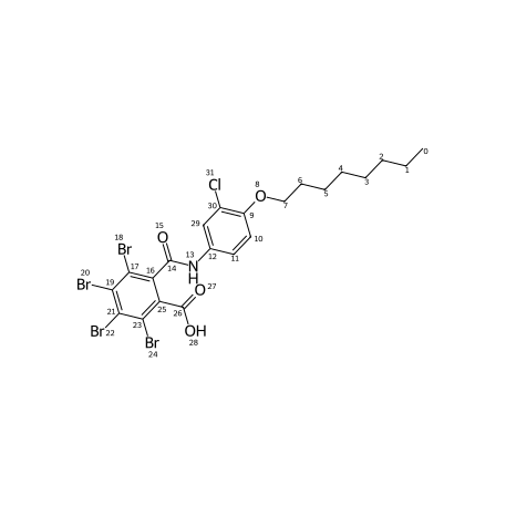 CCCCCCCCOc1ccc(NC(=O)c2c(Br)c(Br)c(Br)c(Br)c2C(=O)O)cc1Cl